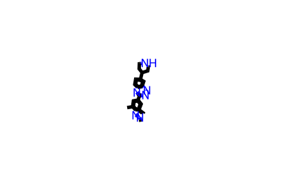 Cc1cc(-c2nnc3cc(C4CCNCC4)ccc3n2)cc2cn(C)nc12